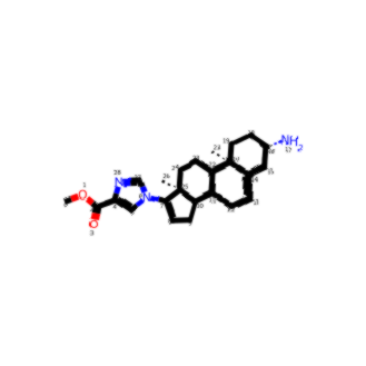 COC(=O)c1cn(C2=CCC3C4CC=C5C[C@@H](N)CC[C@]5(C)C4CC[C@]23C)cn1